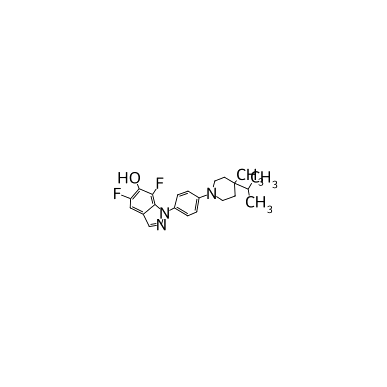 CC(C)C1(C)CCN(c2ccc(-n3ncc4cc(F)c(O)c(F)c43)cc2)CC1